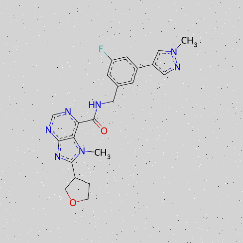 Cn1cc(-c2cc(F)cc(CNC(=O)c3ncnc4nc(C5CCOC5)n(C)c34)c2)cn1